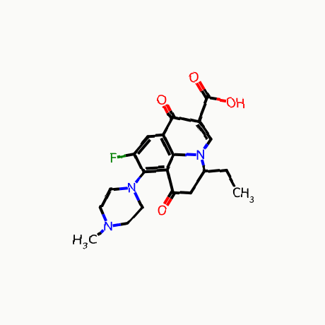 CCC1CC(=O)c2c(N3CCN(C)CC3)c(F)cc3c(=O)c(C(=O)O)cn1c23